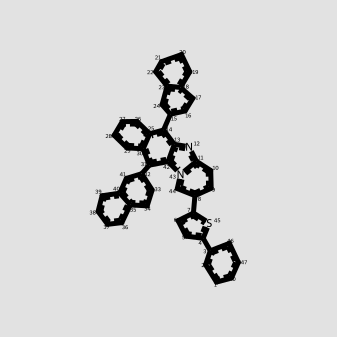 c1ccc(-c2ccc(-c3ccc4nc5c(-c6ccc7ccccc7c6)c6ccccc6c(-c6ccc7ccccc7c6)c5n4c3)s2)cc1